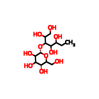 CCC(O)C(O)C(O[C@@H]1OC(CO)[C@H](O)C(O)C1O)C(O)CO